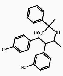 CC(NC(C)(C(=O)O)c1ccccc1)C(Cc1ccc(Cl)cc1)c1cccc(C#N)c1